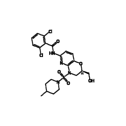 CC1CCN(S(=O)(=O)N2C[C@H](CO)Oc3ccc(NC(=O)c4c(Cl)cccc4Cl)nc32)CC1